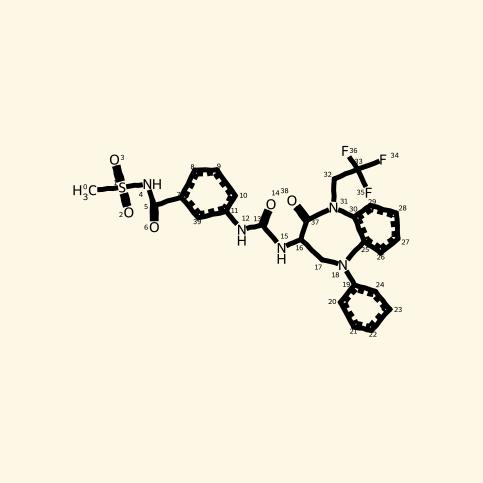 CS(=O)(=O)NC(=O)c1cccc(NC(=O)NC2CN(c3ccccc3)c3ccccc3N(CC(F)(F)F)C2=O)c1